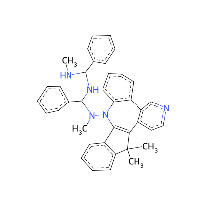 CNC(NC(c1ccccc1)N(C)N1C2=C(c3ccncc3-c3ccccc31)C(C)(C)c1ccccc12)c1ccccc1